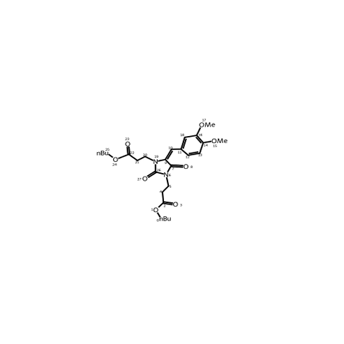 CCCCOC(=O)CCN1C(=O)/C(=C\c2ccc(OC)c(OC)c2)N(CCC(=O)OCCCC)C1=O